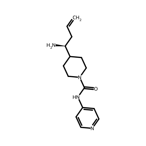 C=CC[C@H](N)C1CCN(C(=O)Nc2ccncc2)CC1